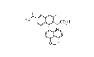 Cc1cc2nc(C(C)O)ccc2c(-c2ccc3c4c(ccnc24)CCO3)c1CC(=O)O